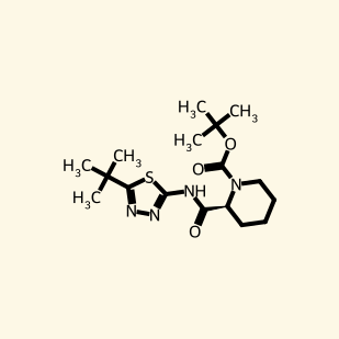 CC(C)(C)OC(=O)N1CCCC[C@H]1C(=O)Nc1nnc(C(C)(C)C)s1